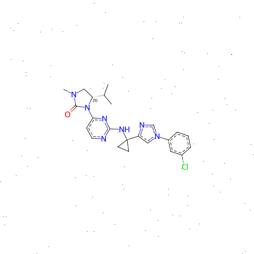 CC(C)[C@H]1CN(C)C(=O)N1c1ccnc(NC2(c3cn(-c4cccc(Cl)c4)cn3)CC2)n1